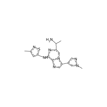 Cc1cc(Nc2nc(C(C)N)cn3c(-c4cnn(C)c4)cnc23)sn1